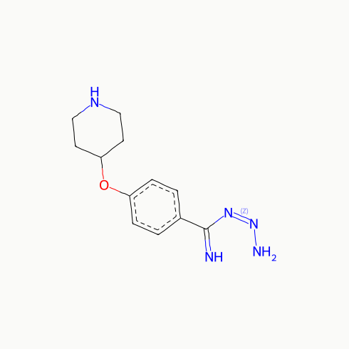 N=C(/N=N\N)c1ccc(OC2CCNCC2)cc1